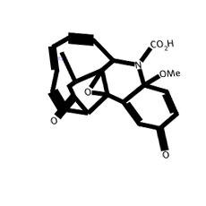 COC12C=CC(=O)C=C1C13OC14C(C)CC(=O)C3C#C/C=C/C#CC4N2C(=O)O